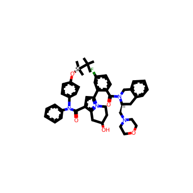 CC(C)(C)[Si](C)(C)Oc1ccc(N(C(=O)c2cc(-c3cc(F)ccc3C(=O)N3Cc4ccccc4C[C@H]3CN3CCOCC3)n3c2CC(O)CC3)c2ccccc2)cc1